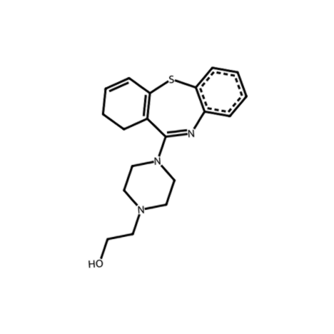 OCCN1CCN(C2=Nc3ccccc3SC3=C2CCC=C3)CC1